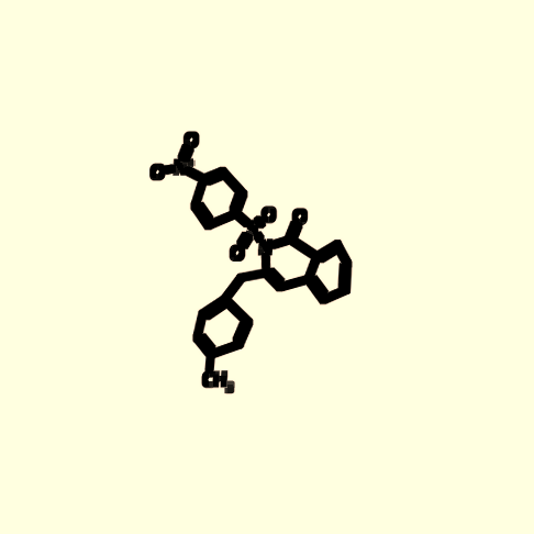 Cc1ccc(Cc2cc3ccccc3c(=O)n2S(=O)(=O)c2ccc([N+](=O)[O-])cc2)cc1